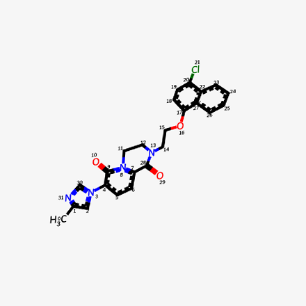 Cc1cn(-c2ccc3n(c2=O)CCN(CCOc2ccc(Cl)c4ccccc24)C3=O)cn1